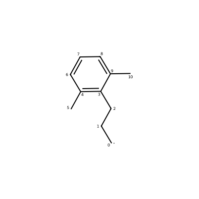 [CH2]CCc1c(C)cccc1C